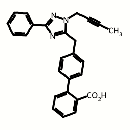 CC#CCn1nc(-c2ccccc2)nc1Cc1ccc(-c2ccccc2C(=O)O)cc1